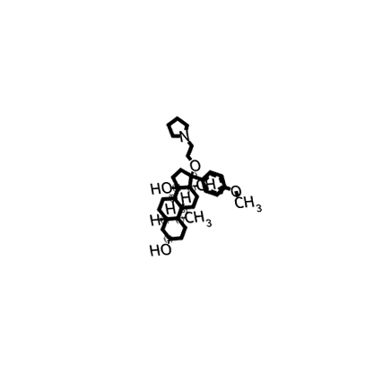 COc1ccc([C@@]2(OCCN3CCCC3)CC[C@@]3(O)[C@@H]4CC[C@H]5C[C@@H](O)CC[C@]5(C)[C@H]4CC[C@]23C)cc1